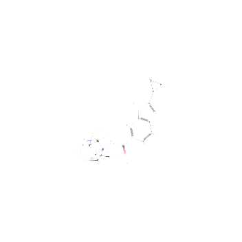 CC1(C)[C@H](NC(=O)c2ccc3cc(C4CC4)sc3c2)C2CCN1CC2